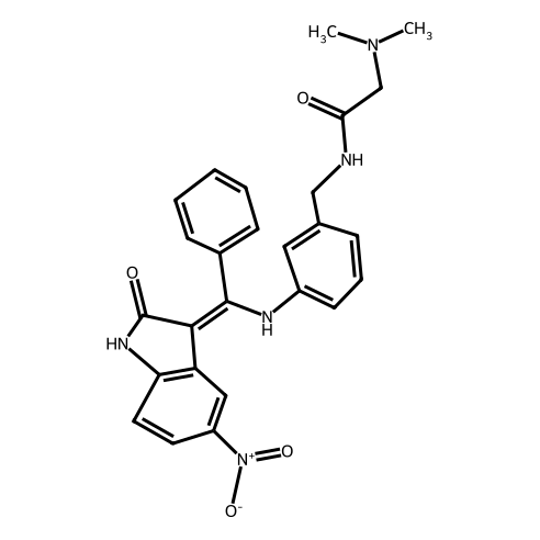 CN(C)CC(=O)NCc1cccc(NC(=C2C(=O)Nc3ccc([N+](=O)[O-])cc32)c2ccccc2)c1